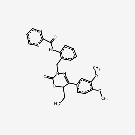 CCC1OC(=O)N(Cc2ccccc2NC(=O)c2ncccn2)N=C1c1ccc(OC)c(OC)c1